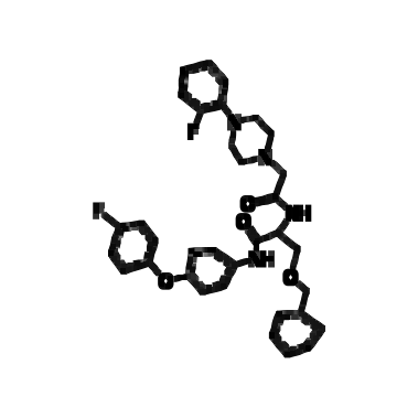 O=C(CN1CCN(c2ccccc2F)CC1)NC(COCc1ccccc1)C(=O)Nc1ccc(Oc2ccc(F)cc2)cc1